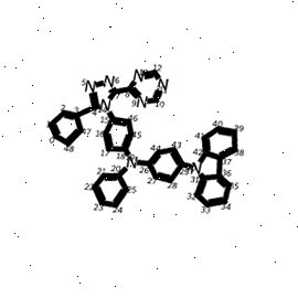 c1ccc(-c2nnc(-c3ncncn3)n2-c2ccc(N(c3ccccc3)c3ccc(-n4c5ccccc5c5ccccc54)cc3)cc2)cc1